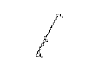 CCCCCCCCCCCCCCCCCCOC(=O)CCCOCCOCCOCC